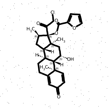 C[C@@H]1C[C@H]2[C@@H]3CCC4=CC(=O)C=C[C@]4(C)[C@H]3[C@@H](O)C[C@]2(C)[C@@]1(OC(=O)c1ccco1)C(=O)CCl